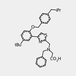 CC(C)Cc1ccc(COc2ccc(C(C)(C)C)cc2-c2csc(CN(CC(=O)O)Cc3ccccc3)n2)cc1